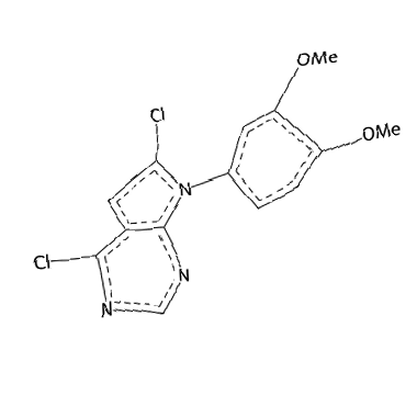 COc1ccc(-n2c(Cl)cc3c(Cl)ncnc32)cc1OC